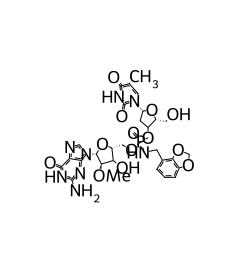 CO[C@@H]1C(O)[C@@H](COP(=O)(NCc2cccc3c2OCO3)OC2C[C@H](n3cc(C)c(=O)[nH]c3=O)O[C@@H]2CO)O[C@H]1n1cnc2c(=O)[nH]c(N)nc21